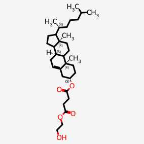 CC(C)CCC[C@@H](C)C1CCC2[C@@H]3CC=C4C[C@@H](OC(=O)CCC(=O)OCCO)CC[C@]4(C)C3CC[C@@]21C